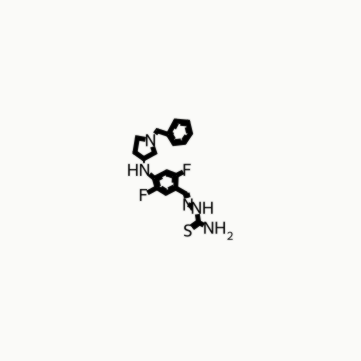 NC(=S)NN=Cc1cc(F)c(N[C@@H]2CCN(Cc3ccccc3)C2)cc1F